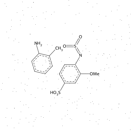 COc1cc(S(=O)(=O)O)ccc1N=S(=O)=O.Cc1ccccc1N